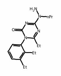 CCCN(N)c1nc(CC)n(-c2cccc(CC)c2CC)c(=O)n1